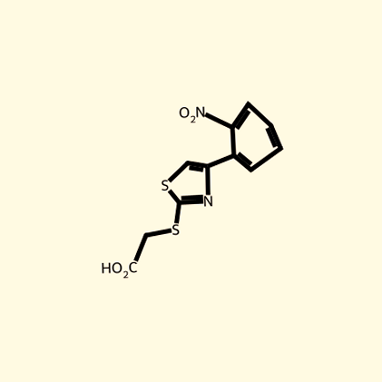 O=C(O)CSc1nc(-c2ccccc2[N+](=O)[O-])cs1